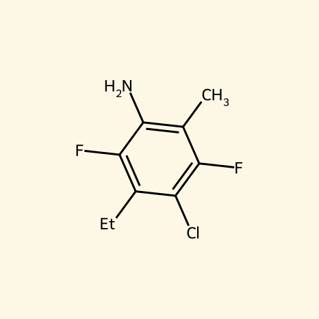 CCc1c(F)c(N)c(C)c(F)c1Cl